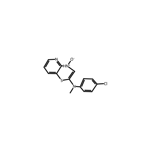 CN(C1=C[NH+]([O-])c2ncccc2S1)c1ccc(Cl)cc1